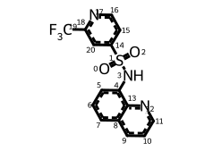 O=S(=O)(Nc1cccc2cccnc12)c1ccnc(C(F)(F)F)c1